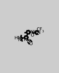 Cc1ccc(NC(=O)c2ccnc(C(F)(F)F)c2)cc1-c1cc(-c2c(C)n[nH]c2C)nc(N2CCOCC2)c1